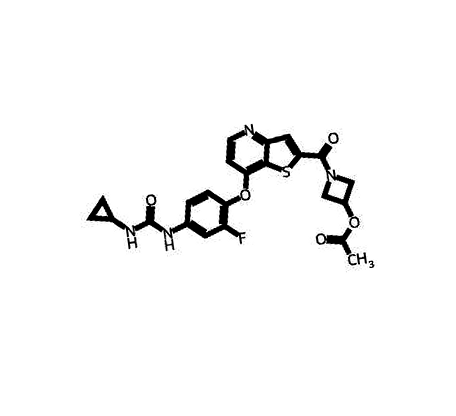 CC(=O)OC1CN(C(=O)c2cc3nccc(Oc4ccc(NC(=O)NC5CC5)cc4F)c3s2)C1